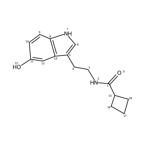 O=C(NCCc1c[nH]c2ccc(O)cc12)C1CCC1